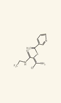 C=C(S/C(C(=O)NCC(F)(F)F)=C(\N)Cl)c1cccnc1